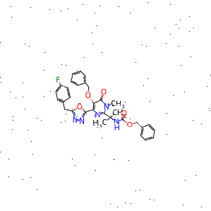 Cn1c(C(C)(C)NC(=O)OCc2ccccc2)nc(-c2nnc(Cc3ccc(F)cc3)o2)c(OCc2ccccc2)c1=O